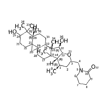 C[C@@H]1CC(CN2CCCCC2=O)OC2[C@H]1C1(C)CCC34CC35CCC(O)C(C)(C)[C@@H]5CCC4[C@]1(C)[C@H]2O